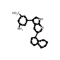 Nc1cc(C(=O)O)cc(-c2c[nH]c3ncc(-c4cccc5ccccc45)cc23)c1